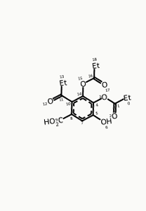 CCC(=O)Oc1c(O)cc(C(=O)O)c(C(=O)CC)c1OC(=O)CC